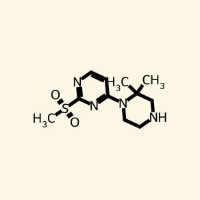 CC1(C)CNCCN1c1ccnc(S(C)(=O)=O)n1